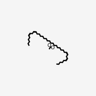 CCCCC/C=C\C/C=C\CCCCCCCCC(CCCCCCCC/C=C\C/C=C\CCCCC)OC(C)=O